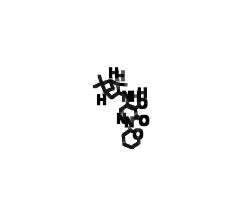 C[C@H]1C(Nc2cnn(C3CCCCO3)c(=O)c2O)C[C@@H]2C[C@H]1C2(C)C